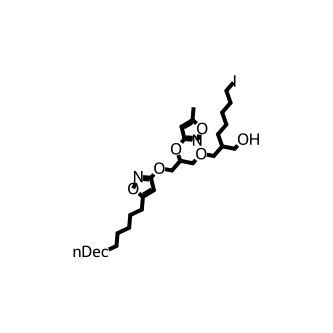 CCCCCCCCCCCCCCCc1cc(OCC(COCC(CO)CCCCCI)Oc2cc(C)on2)no1